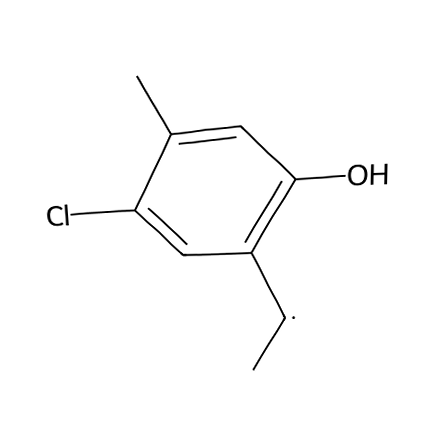 C[CH]c1cc(Cl)c(C)cc1O